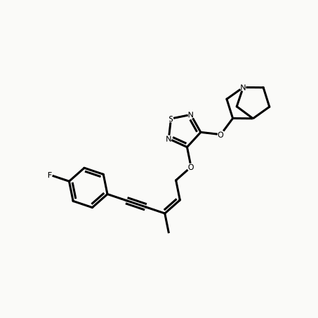 CC(C#Cc1ccc(F)cc1)=CCOc1nsnc1OC1CN2CCC1C2